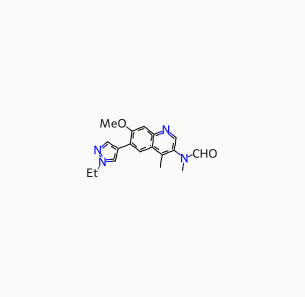 CCn1cc(-c2cc3c(C)c(N(C)C=O)cnc3cc2OC)cn1